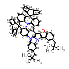 CC(C)(C)Cc1ccc2oc3c4c5n(c6ccc(CC(C)(C)C)cc6n5c3c2c1)-c1ccc2c3c1B4c1cccc4c1N3c1c(cccc1C21c2ccccc2-c2ccccc21)C41c2ccccc2-c2ccccc21